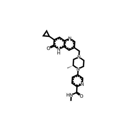 CNC(=O)c1ccc(N2CCN(Cc3cnc4cc(C5CC5)c(=O)[nH]c4c3)C[C@H]2C)cn1